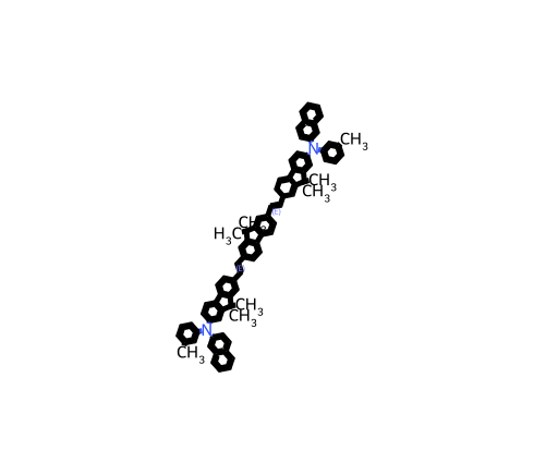 Cc1cccc(N(c2ccc3c(c2)C(C)(C)C2=CC(/C=C/c4ccc5c(c4)C(C)(C)c4cc(/C=C/c6ccc7c(c6)C(C)(C)c6cc(N(c8cccc(C)c8)c8ccc9ccccc9c8)ccc6-7)ccc4-5)CC=C23)c2ccc3ccccc3c2)c1